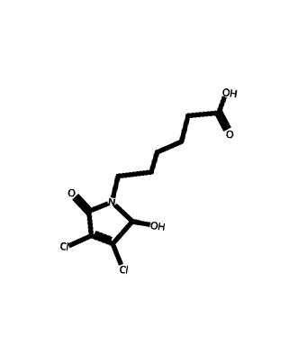 O=C(O)CCCCCN1C(=O)C(Cl)=C(Cl)C1O